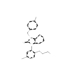 Cc1ccc(Cn2c(=N)n(-c3cc(C)ccc3CCCO)c3ccccc32)cc1